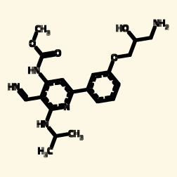 COC(=O)Nc1cc(-c2cccc(OCC(O)CN)c2)nc(NC(C)C)c1C=N